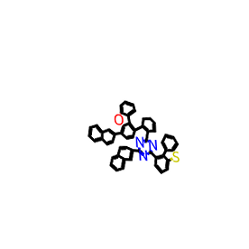 C1=CC(c2nc(-c3ccc4ccccc4c3)nc(-c3cccc4sc5ccccc5c34)n2)=C(c2ccc(-c3ccc4ccccc4c3)c3oc4ccccc4c23)CC1